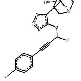 CC(C)C(C#Cc1ccc(Cl)cc1)Oc1nsnc1[C@@H]1CN2CCC1CC2